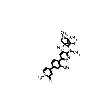 CN(c1ccc(-c2ccc(-c3ccn(C)c(=O)c3)cc2O)nn1)[C@H]1[C@H](F)[C@@]2(C)C[C@]1(C)CN2C